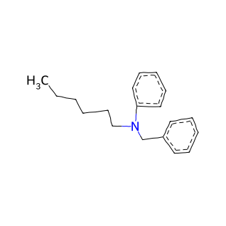 CCCCCCN(Cc1ccccc1)c1ccccc1